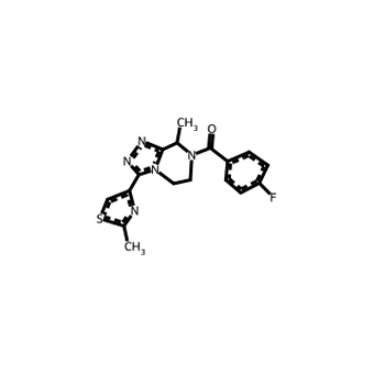 Cc1nc(-c2nnc3n2CCN(C(=O)c2ccc(F)cc2)C3C)cs1